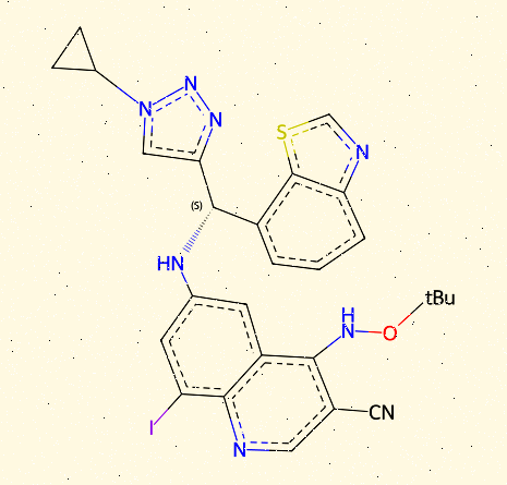 CC(C)(C)ONc1c(C#N)cnc2c(I)cc(N[C@H](c3cn(C4CC4)nn3)c3cccc4ncsc34)cc12